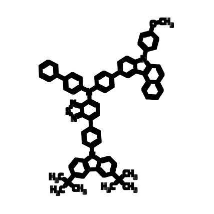 COc1ccc(-n2c3ccc(-c4ccc(N(c5ccc(-c6ccccc6)cc5)c5ccc(-c6ccc(-n7c8ccc(C(C)(C)C)cc8c8cc(C(C)(C)C)ccc87)cc6)c6nsnc56)cc4)cc3c3c4ccccc4ccc32)cc1